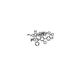 C=CCOC(CC=C)[C@]1(O)C(O)N(c2ccccc2)c2cc(Cl)c(-c3ccc(F)c(C(=O)OC)c3)cc2S(O)(O)N1C